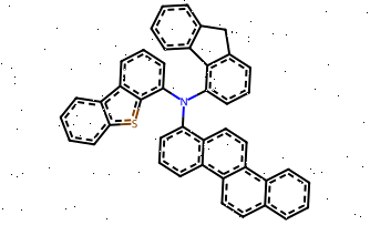 c1ccc2c(c1)Cc1cccc(N(c3cccc4c3ccc3c5ccccc5ccc43)c3cccc4c3sc3ccccc34)c1-2